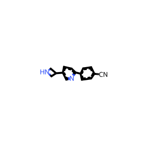 N#Cc1ccc(-c2ccc(C3CNC3)cn2)cc1